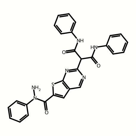 NN(C(=O)c1cc2cnc(C(C(=O)Nc3ccccc3)C(=O)Nc3ccccc3)nc2s1)c1ccccc1